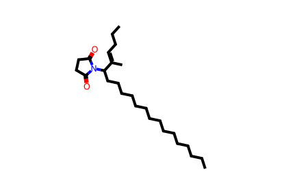 CCCC=C(C)C(CCCCCCCCCCCCCCC)N1C(=O)CCC1=O